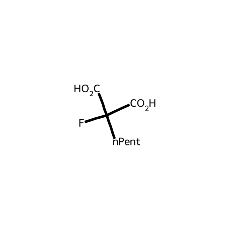 CCCCCC(F)(C(=O)O)C(=O)O